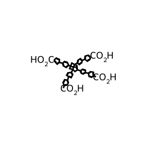 O=C(O)c1ccc(-c2ccc(C34CC5(c6ccc(-c7ccc(C(=O)O)cc7)cc6)CC6(c7ccc(-c8ccc(C(=O)O)cc8)cc7)CC(c7ccc(-c8ccc(C(=O)O)cc8)cc7)(C3)C56C4)cc2)cc1